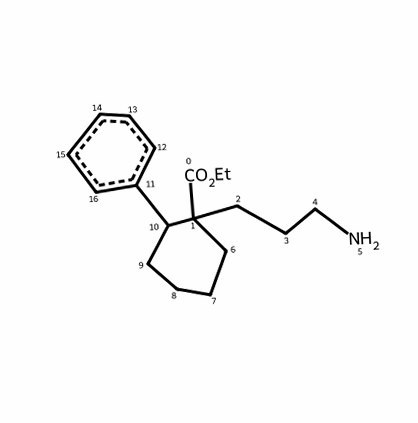 CCOC(=O)C1(CCCN)CCCCC1c1ccccc1